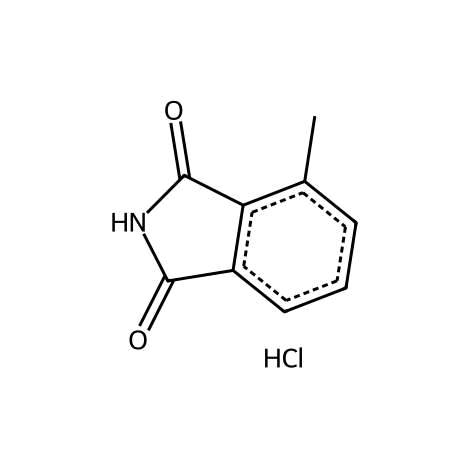 Cc1cccc2c1C(=O)NC2=O.Cl